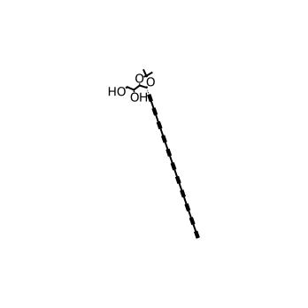 C#CC#CC#CC#CC#CC#CC#CC#CC#CC#CC#C[C@H]1OC(C)(C)O[C@H]1[C@@H](O)CO